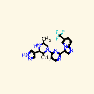 CC1CN(c2ccnc(-c3cnc4ccc(C(F)(F)F)cn34)n2)C(C)C(c2cn[nH]c2)N1